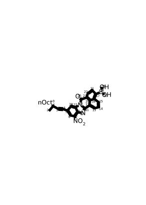 CCCCCCCCC(C)C#Cc1cc([N+](=O)[O-])c2nc3c4cccc5c(B(O)O)ccc(c(=O)n3c2c1)c54